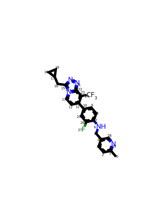 Cc1ccc(CNc2ccc(-c3ccn4c(CC5CC5)nnc4c3C(F)(F)F)cc2F)cn1